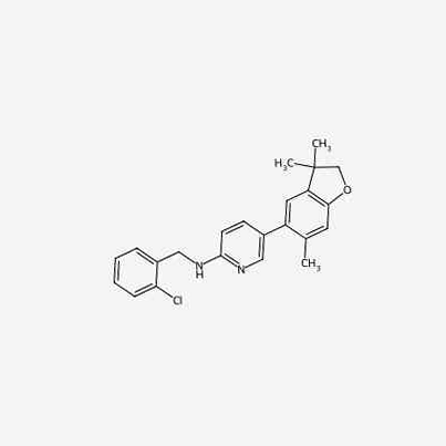 Cc1cc2c(cc1-c1ccc(NCc3ccccc3Cl)nc1)C(C)(C)CO2